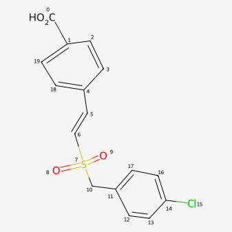 O=C(O)c1ccc(C=CS(=O)(=O)Cc2ccc(Cl)cc2)cc1